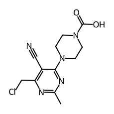 Cc1nc(CCl)c(C#N)c(N2CCN(C(=O)O)CC2)n1